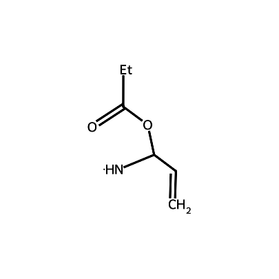 C=CC([NH])OC(=O)CC